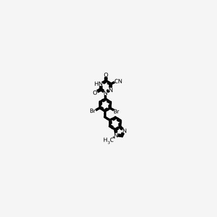 Cn1cnc2ccc(Cc3c(Br)cc(-n4nc(C#N)c(=O)[nH]c4=O)cc3Br)cc21